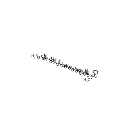 CCC(=Cc1ccccc1)[SiH2]O[SiH2]O[SiH2]O[SiH2]O[SiH2]O[SiH2]O[SiH2]O[SiH2]O[SiH2]O[SiH2]O[SiH2]O[SiH2]O[SiH2]O[SiH2]O[SiH3]